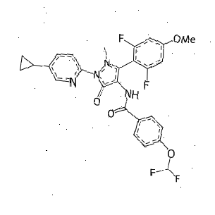 COc1cc(F)c(-c2c(NC(=O)c3ccc(OC(F)F)cc3)c(=O)n(-c3ccc(C4CC4)cn3)n2C)c(F)c1